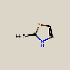 COC1N[C]=CS1